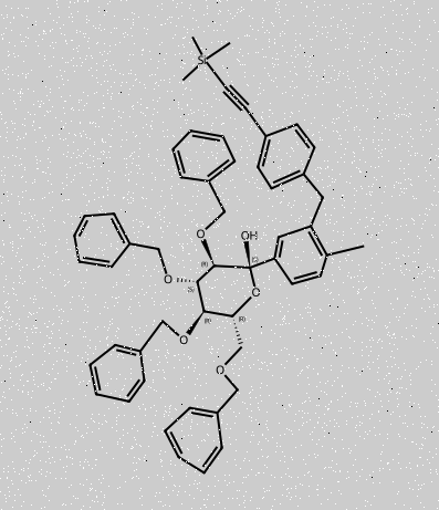 Cc1ccc([C@]2(O)O[C@H](COCc3ccccc3)[C@@H](OCc3ccccc3)[C@H](OCc3ccccc3)[C@H]2OCc2ccccc2)cc1Cc1ccc(C#C[Si](C)(C)C)cc1